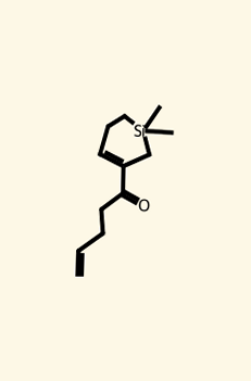 C=CCCC(=O)C1=CCC[Si](C)(C)C1